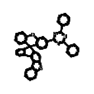 c1ccc(-c2nc(-c3ccccc3)nc(-c3ccc4c(c3)Oc3ccccc3C43c4ccccc4-c4c3ccc3sc5ccccc5c43)n2)cc1